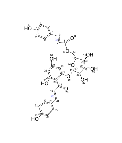 O=C(/C=C/c1ccc(O)cc1)OCC1O[C@@H](Oc2cc(O)cc(O)c2C(=O)/C=C/c2ccc(O)cc2)C(O)[C@@H](O)[C@@H]1O